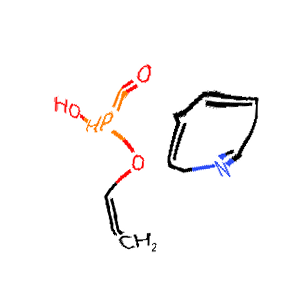 C=CO[PH](=O)O.c1ccncc1